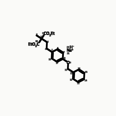 CCOC(=O)C(C)(CCc1ccc(OCc2ccccc2)cc1)C(=O)OCC.[H-].[Na+]